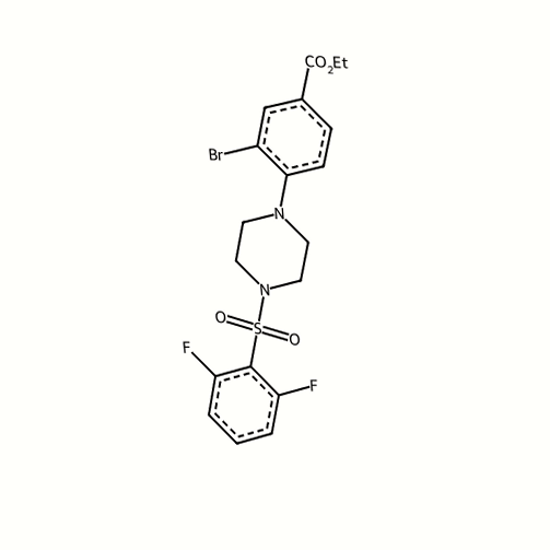 CCOC(=O)c1ccc(N2CCN(S(=O)(=O)c3c(F)cccc3F)CC2)c(Br)c1